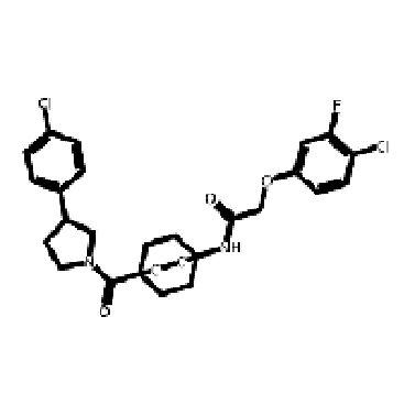 O=C(COc1ccc(Cl)c(F)c1)NC12CCC(C(=O)N3CCC(c4ccc(Cl)cc4)C3)(CC1)CC2